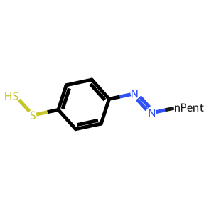 CCCCCN=Nc1ccc(SS)cc1